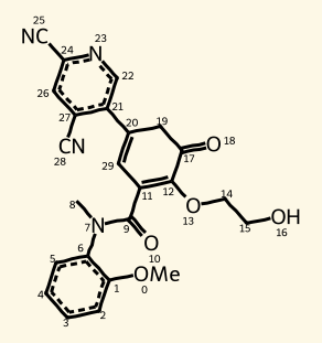 COc1ccccc1N(C)C(=O)C1=C(OCCO)C(=O)CC(c2cnc(C#N)cc2C#N)=C1